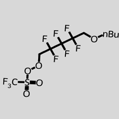 CCCCOCC(F)(F)C(F)(F)C(F)(F)COOS(=O)(=O)C(F)(F)F